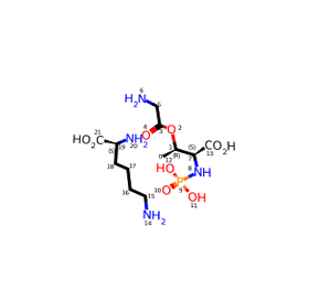 C[C@@H](OC(=O)CN)[C@H](NP(=O)(O)O)C(=O)O.NCCCC[C@H](N)C(=O)O